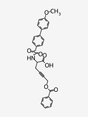 COc1ccc(-c2ccc(S(=O)(=O)NC(CC#CCOC(=O)c3ccccc3)C(=O)O)cc2)cc1